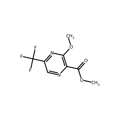 COC(=O)c1ncc(C(F)(F)F)nc1OC